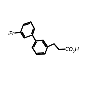 CC(C)c1cccc(-c2cccc(CCC(=O)O)c2)c1